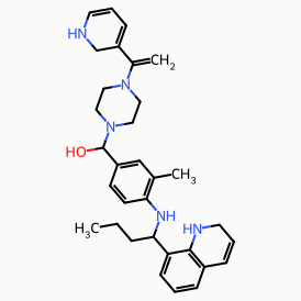 C=C(C1=CC=CNC1)N1CCN(C(O)c2ccc(NC(CCC)c3cccc4c3NCC=C4)c(C)c2)CC1